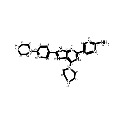 Nc1ncc(-c2nc(N3CCOCC3)c3nc(-c4ccc(N5CCOCC5)nc4)sc3n2)cn1